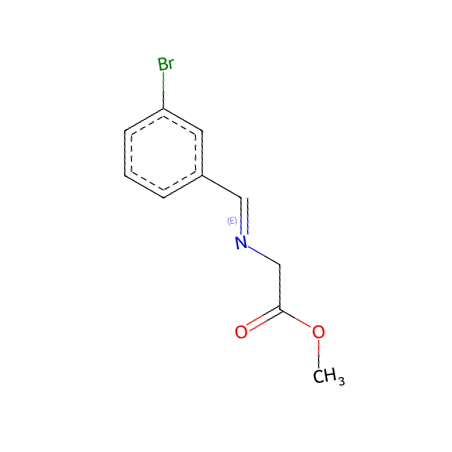 COC(=O)C/N=C/c1cccc(Br)c1